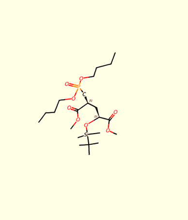 CCCCOP(=O)(C[C@@H](C[C@H](O[Si](C)(C)C(C)(C)C)C(=O)OC)C(=O)OC)OCCCC